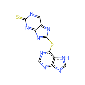 S=C1N=CC2=NC(Sc3ncnc4nc[nH]c34)=NC2=N1